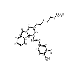 O=C(O)CCCCCCc1nc(NCc2ccc(O)c(Cl)c2)c2c(n1)sc1ccccc12